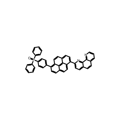 O=P(c1ccccc1)(c1ccccc1)c1ccc(-c2ccc3ccc4c(-c5ccc6ccc7cccnc7c6n5)ccc5ccc2c3c54)cc1